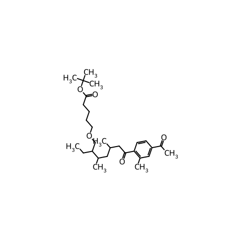 CCC(COCCCCC(=O)OC(C)(C)C)C(C)CC(C)CC(=O)c1ccc(C(C)=O)cc1C